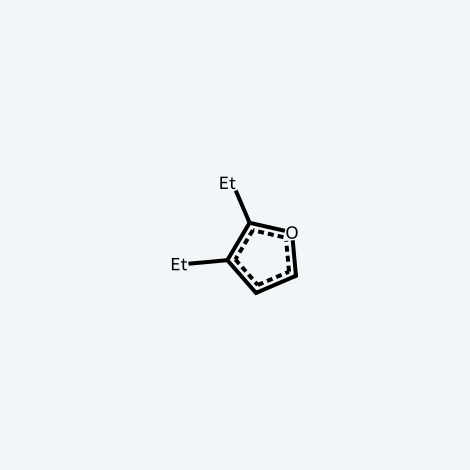 CCc1ccoc1CC